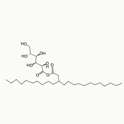 CCCCCCCCCCCCC(CCCCCCCCCC)CC(=O)OC(=O)[C@H](O)[C@@H](O)[C@H](O)[C@H](O)CO